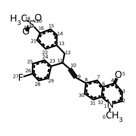 Cn1ccc(=O)c2cc(C#CC(Cc3ccc(S(C)(=O)=O)cc3)c3ccc(F)cc3)ccc21